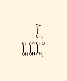 CC=O.CCCO.CCO.CO